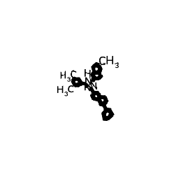 Cc1cc(C)cc(C2=NC(c3ccc4cc(-c5ccccc5)ccc4c3)=NC(c3ccc4cc(C)ccc4c3)N2)c1